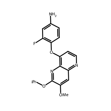 COc1cc2nccc(Oc3ccc(N)cc3F)c2nc1OC(C)C